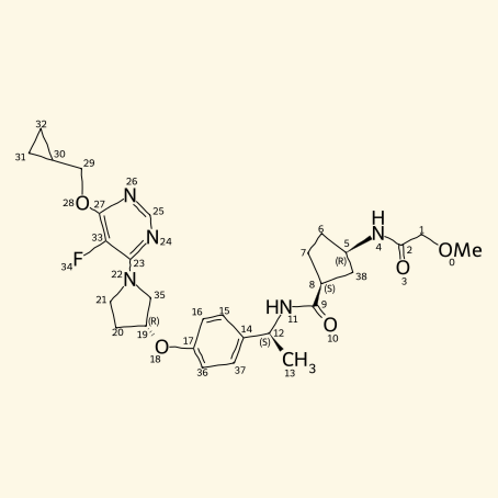 COCC(=O)N[C@@H]1CC[C@H](C(=O)N[C@@H](C)c2ccc(O[C@@H]3CCN(c4ncnc(OCC5CC5)c4F)C3)cc2)C1